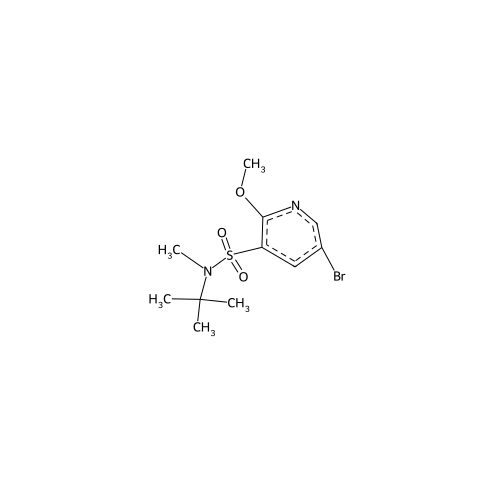 COc1ncc(Br)cc1S(=O)(=O)N(C)C(C)(C)C